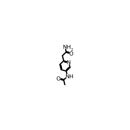 CC(=O)Nc1ccc(CC(N)=O)nc1